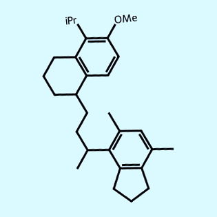 COc1ccc2c(c1C(C)C)CCCC2CCC(C)c1c(C)cc(C)c2c1CCC2